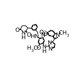 COc1cc(NCc2cccc(C3CCC(=O)NC3=O)c2)c([N+](=O)[O-])cc1Nc1nccc(-c2cn(C)c3ccccc23)n1